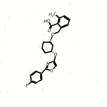 Cc1cccc(CO[C@@H]2CCC[C@@H](Oc3coc(-c4ccc(F)cc4)n3)C2)c1C(=O)O